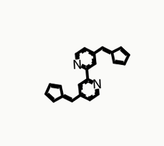 C1=CC(=Cc2ccnc(-c3cc(C=C4C=CC=C4)ccn3)c2)C=C1